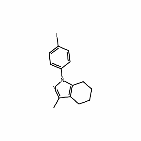 Cc1nn(-c2ccc(I)cc2)c2c1CCCC2